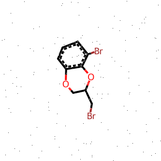 BrCC1COc2cccc(Br)c2O1